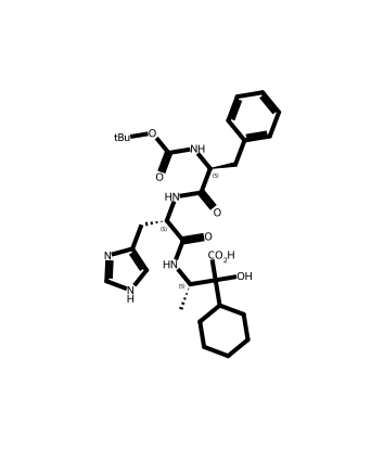 C[C@H](NC(=O)[C@H](Cc1c[nH]cn1)NC(=O)[C@H](Cc1ccccc1)NC(=O)OC(C)(C)C)C(O)(C(=O)O)C1CCCCC1